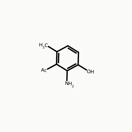 CC(=O)c1c(C)ccc(O)c1N